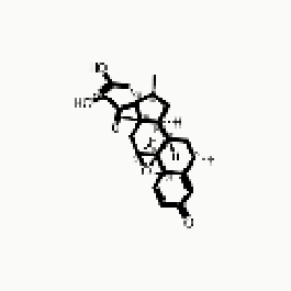 C[C@H]1C[C@H]2[C@@H]3C[C@H](F)C4=CC(=O)C=C[C@]4(C)[C@@]34O[C@H]4C[C@]2(C)[C@@]1(CC(=O)O)C(=O)CO